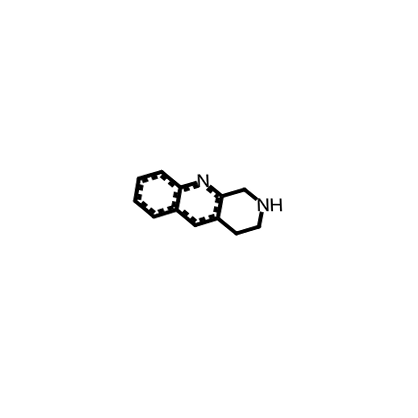 c1ccc2nc3c(cc2c1)CCNC3